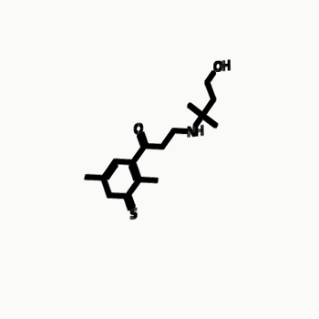 CC1=CC(C(=O)CCNC(C)(C)CCO)=C(C)C(=S)C1